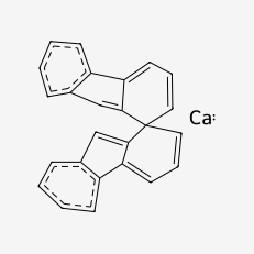 C1=CC2(C=CC=C3C2=Cc2ccccc23)C2=Cc3ccccc3C2=C1.[Ca]